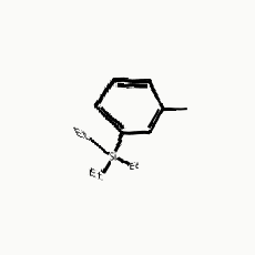 CC[Si](CC)(CC)c1cccc(C)c1